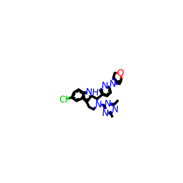 Cc1nc(C)nc(N2CCc3c([nH]c4ccc(Cl)cc34)C2c2ccc(N3CC4CC3CO4)nc2)n1